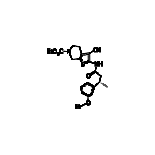 CCOC(=O)N1CCc2c(sc(NC(=O)C[C@H](C)c3cccc(OCC)c3)c2C#N)C1